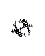 CC1(C)/C(=N/O[C@@H]2CCNC2)CC(OC(=O)/C=C/C(=O)OC2C/C(=N\O[C@@H]3CCNC3)C(C)(C)C3CC[C@@H]4[C@@H](CC[C@]5(C)C(=O)CC[C@@H]45)[C@@]23C)[C@@]2(C)C1CC[C@@H]1[C@H]2CC[C@]2(C)C(=O)CC[C@@H]12